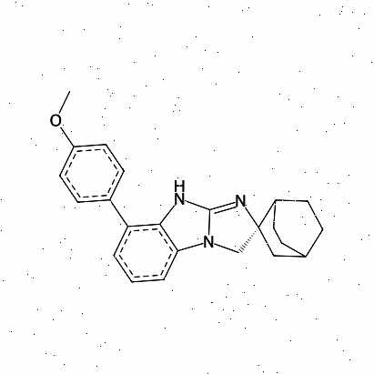 COc1ccc(-c2cccc3c2NC2=N[C@@]4(CC5CCC4CC5)CN23)cc1